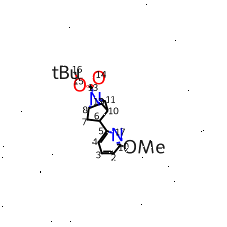 COc1cccc(C2CC3CC2CN3C(=O)OC(C)(C)C)n1